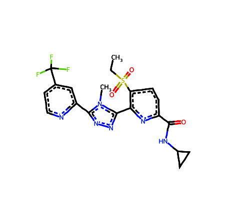 CCS(=O)(=O)c1ccc(C(=O)NC2CC2)nc1-c1nnc(-c2cc(C(F)(F)F)ccn2)n1C